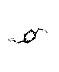 COc1ccc([CH2][Na])cc1